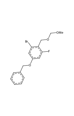 COCOCc1c(F)cc(OCc2ccccc2)cc1Br